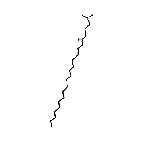 CCCCCCCCCCCCCCCCCNCCCN(C)C